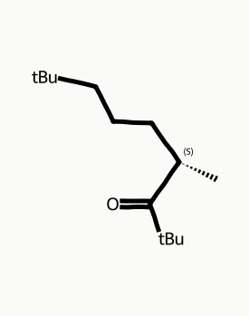 C[C@@H](CCCC(C)(C)C)C(=O)C(C)(C)C